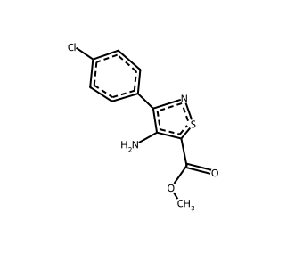 COC(=O)c1snc(-c2ccc(Cl)cc2)c1N